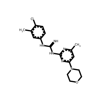 Cc1cc(N2CCOCC2)nc(NC(=N)Nc2ccc(Cl)c(C)c2)n1